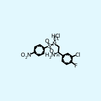 CCN(C[C@H](N)c1ccc(F)c(Cl)c1)S(=O)(=O)c1ccc([N+](=O)[O-])cc1.Cl